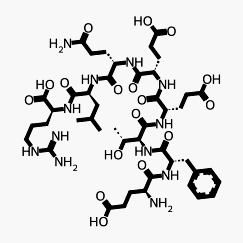 CC(C)C[C@H](NC(=O)[C@H](CCC(N)=O)NC(=O)[C@H](CCC(=O)O)NC(=O)[C@H](CCC(=O)O)NC(=O)[C@@H](NC(=O)[C@H](Cc1ccccc1)NC(=O)[C@@H](N)CCC(=O)O)[C@@H](C)O)C(=O)N[C@@H](CCCNC(=N)N)C(=O)O